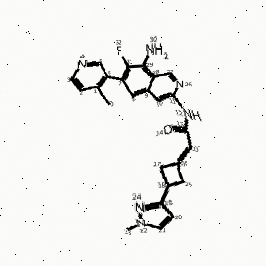 Cc1ccncc1-c1cc2cc(NC(=O)C=C3CC(c4ccn(C)n4)C3)ncc2c(N)c1F